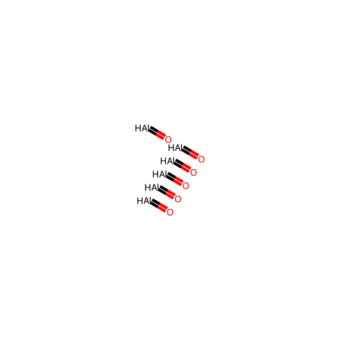 [O]=[AlH].[O]=[AlH].[O]=[AlH].[O]=[AlH].[O]=[AlH].[O]=[AlH]